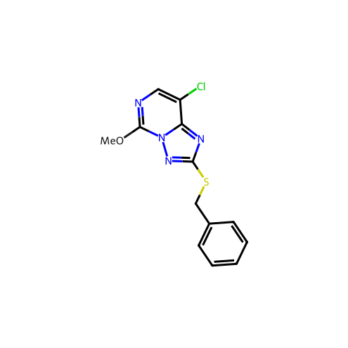 COc1ncc(Cl)c2nc(SCc3ccccc3)nn12